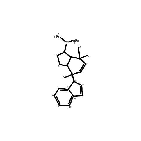 CCC[CH2][Ti]([CH2]CCC)[CH]1CCC2C1C(C)(C)C=CC2(C)C1C=Cc2ccccc21